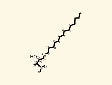 CCCCCCCCCCCCCCOC[C@@H](O)C(C)N(C)C